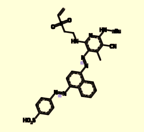 C=CS(=O)(=O)CCNc1nc(NCCCC)c(C#N)c(C)c1/N=N/c1ccc(/N=N/c2ccc(S(=O)(=O)O)cc2)c2ccccc12